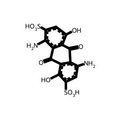 Nc1cc(S(=O)(=O)O)c(O)c2c1C(=O)c1c(O)cc(S(=O)(=O)O)c(N)c1C2=O